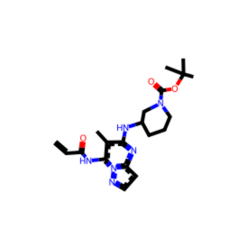 C=CC(=O)Nc1c(C)c(NC2CCCN(C(=O)OC(C)(C)C)C2)nc2ccnn12